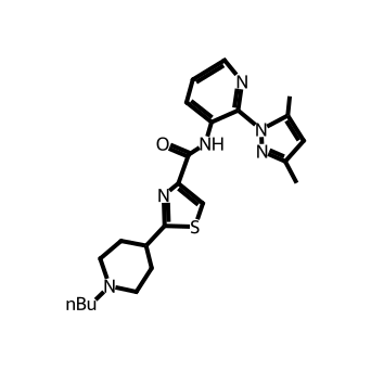 CCCCN1CCC(c2nc(C(=O)Nc3cccnc3-n3nc(C)cc3C)cs2)CC1